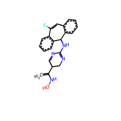 C=C(NO)C1C=NC(NC2c3ccccc3C=C(F)c3ccccc32)=NC1